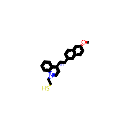 COc1ccc2cc(/C=C/c3cc[n+](CCS)c4ccccc34)ccc2c1